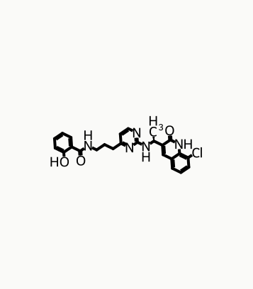 C[C@H](Nc1nccc(CCCNC(=O)c2ccccc2O)n1)c1cc2cccc(Cl)c2[nH]c1=O